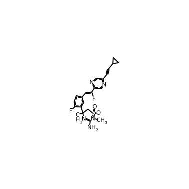 CN1C(N)=NC(C)(c2cc(C=C(F)c3cnc(C#CC4CC4)cn3)ccc2F)CS1(=O)=O